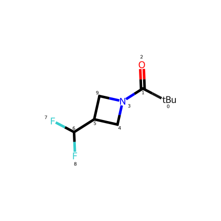 CC(C)(C)C(=O)N1CC(C(F)F)C1